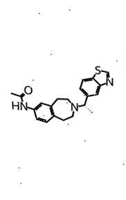 CC(=O)Nc1ccc2c(c1)CCN([C@@H](C)c1ccc3scnc3c1)CC2